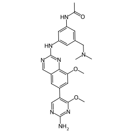 COc1nc(N)ncc1-c1cc(OC)c2nc(Nc3cc(CN(C)C)cc(NC(C)=O)c3)ncc2c1